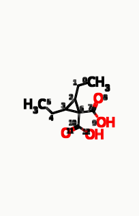 CCC1C(CC)C1(C(=O)O)C(=O)O